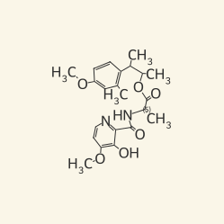 COc1ccc(C(C)C(C)OC(=O)[C@H](C)NC(=O)c2nccc(OC)c2O)c(C)c1